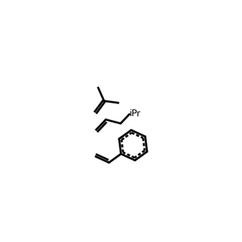 C=C(C)C.C=CCC(C)C.C=Cc1ccccc1